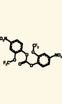 O=C(Oc1ccc([N+](=O)[O-])cc1OC(F)(F)F)Oc1ccc([N+](=O)[O-])cc1OC(F)(F)F